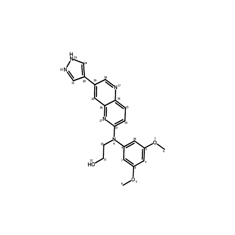 COc1cc(OC)cc(N(CCO)c2ccc3ncc(-c4cn[nH]c4)cc3n2)c1